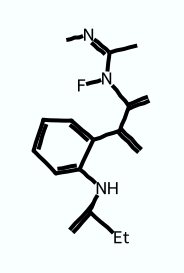 C=C(CC)Nc1ccccc1C(=C)C(=C)N(F)/C(C)=N\C